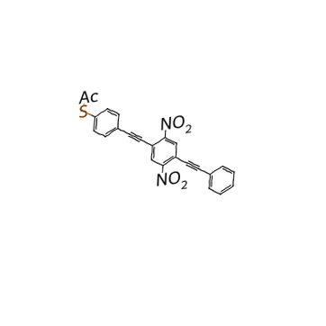 CC(=O)Sc1ccc(C#Cc2cc([N+](=O)[O-])c(C#Cc3ccccc3)cc2[N+](=O)[O-])cc1